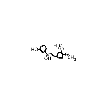 COc1ccc(CC[C@H](O)c2cccc(O)c2)cc1OC